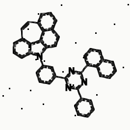 C1=Cc2cccc3c2c2c4c1cccc4ccc2n3-c1cccc(-c2nc(-c3ccccc3)nc(-c3cccc4ccccc34)n2)c1